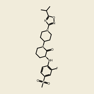 CC(C)c1nc(N2CCC(N3CCC[C@H](Nc4ccc(S(C)(=O)=O)cc4F)C3=O)CC2)no1